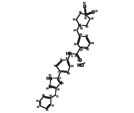 Cl.O=C(Nc1ccc(-c2nc(Cc3ccccc3)n[nH]2)cc1)c1cccc(CN2CCS(=O)(=O)CC2)c1